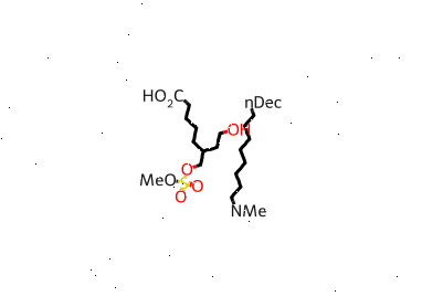 CCCCCCCCCCCCCCCCCCNC.COS(=O)(=O)OCC(CCO)CCCCC(=O)O